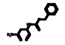 NC(=O)CC(C=O)NC(=O)OCc1ccccc1